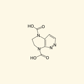 O=C(O)N1CCN(C(=O)O)c2nnccc21